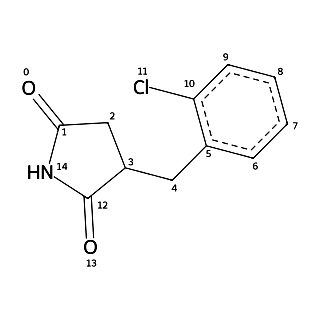 O=C1CC(Cc2ccccc2Cl)C(=O)N1